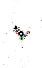 CC(C)(C)[Si](C)(C)Oc1ccc(N=C=O)c(C(F)(F)F)c1